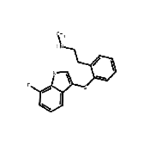 CNCCc1ccccc1Sc1c[nH]c2c(F)cccc12